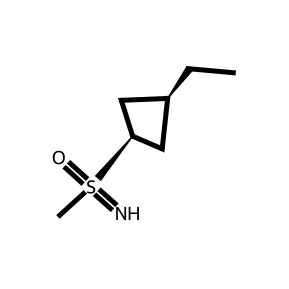 CC[C@H]1C[C@@H](S(C)(=N)=O)C1